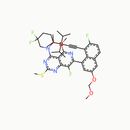 COCOc1cc(-c2nc(OC)c3c(N4CCCC(F)(F)C4)nc(SC)nc3c2F)c2c(C#C[Si](C(C)C)(C(C)C)C(C)C)c(F)ccc2c1